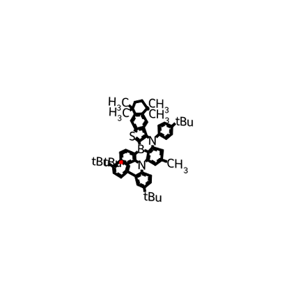 Cc1cc2c3c(c1)N(c1ccc(C(C)(C)C)cc1)c1c(sc4cc5c(cc14)C(C)(C)CCC5(C)C)B3c1ccc(C(C)(C)C)cc1N2c1ccc(C(C)(C)C)cc1-c1ccc(C(C)(C)C)cc1